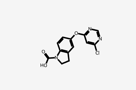 O=C(O)N1CCc2cc(Oc3cc(Cl)ncn3)ccc21